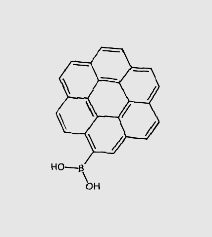 OB(O)c1cc2ccc3ccc4ccc5ccc6ccc1c1c6c5c4c3c21